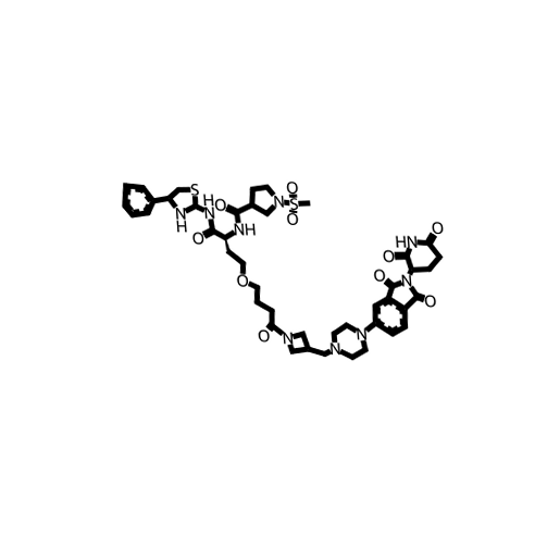 CS(=O)(=O)N1CCC(C(=O)N[C@@H](CCOCCCC(=O)N2CC(CN3CCN(c4ccc5c(c4)C(=O)N(C4CCC(=O)NC4=O)C5=O)CC3)C2)C(=O)NC2NC(c3ccccc3)CS2)C1